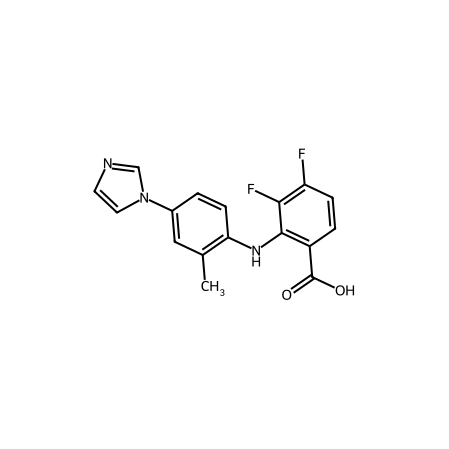 Cc1cc(-n2ccnc2)ccc1Nc1c(C(=O)O)ccc(F)c1F